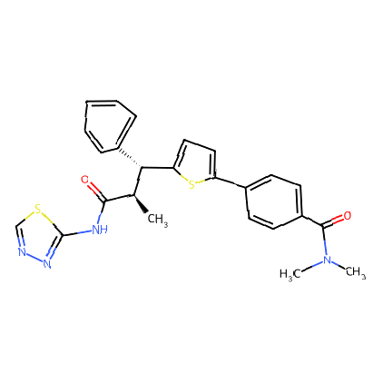 C[C@@H](C(=O)Nc1nncs1)[C@H](c1ccccc1)c1ccc(-c2ccc(C(=O)N(C)C)cc2)s1